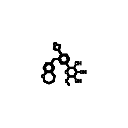 CS[C@H]1O[C@@H](c2ccc(C3COC3)c(Cc3ccc4c(c3)CCCCO4)c2)[C@H](O)[C@@H](O)[C@@H]1O